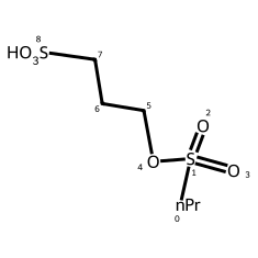 CCCS(=O)(=O)OCCCS(=O)(=O)O